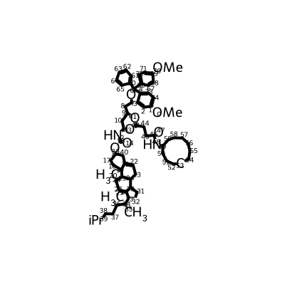 COc1ccc(C(OCCC(CCNC(=O)O[C@H]2CC[C@@]3(C)C(=CCC4C3CC[C@@]3(C)C4CC[C@@H]3[C@@H](C)CCCC(C)C)C2)OC(=O)CCC(=O)NC2CCCCCCCCCC2)(c2ccccc2)c2ccc(OC)cc2)cc1